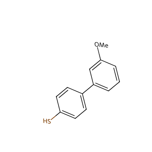 COc1cccc(-c2ccc(S)cc2)c1